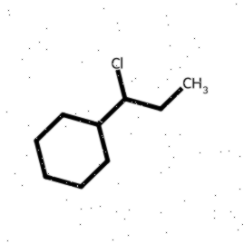 CCC(Cl)[C]1CCCCC1